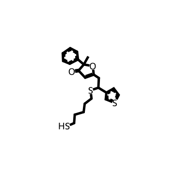 CC1(c2ccccc2)OC(CC(SCCCCCS)c2ccsc2)=CC1=O